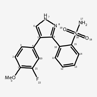 COc1ccc(-c2c[nH]nc2-c2ccccc2S(N)(=O)=O)cc1F